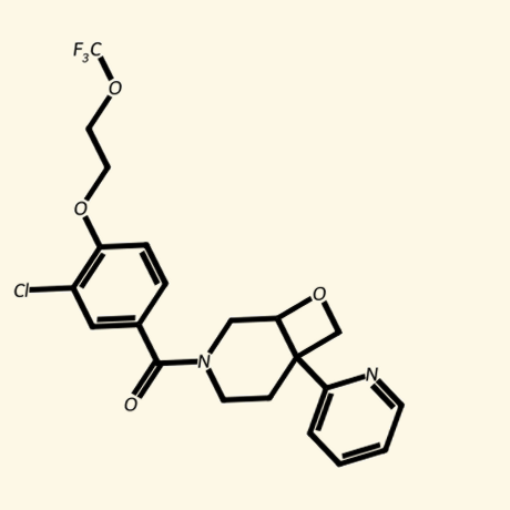 O=C(c1ccc(OCCOC(F)(F)F)c(Cl)c1)N1CCC2(c3ccccn3)COC2C1